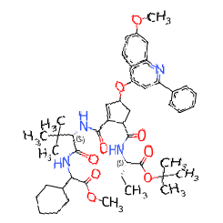 CC[C@H](NC(=O)C1CC(Oc2cc(-c3ccccc3)nc3cc(OC)ccc23)C=C1C(=O)N[C@H](C(=O)NC(C(=O)OC)C1CCCCC1)C(C)(C)C)C(=O)OC(C)(C)C